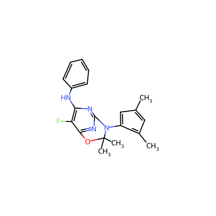 Cc1cc(C)cc(N2c3nc(Nc4ccccc4)c(F)c(n3)OC2(C)C)c1